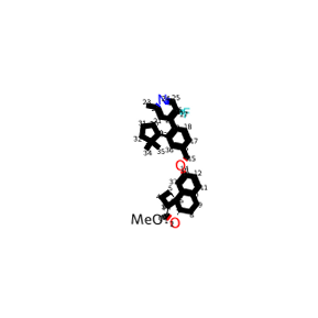 COC(=O)[C@@H]1CC[C@]12CCCc1ccc(OCc3ccc(-c4cc(C)ncc4F)c([C@@H]4CCCC4(C)C)c3)cc12